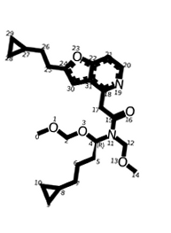 COCO[C@H](CCCC1CC1)N(COC)C(=O)Cc1nccc2oc(CCC3CC3)cc12